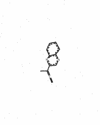 C=C=C(C)c1cnc2ccccc2n1